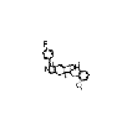 COc1cccc(OC)c1CC(O)[C@]1(C)Cc2cnn(-c3ccc(F)cc3)c2C=C1C